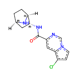 O=C(N[C@@H]1C[C@H]2CC[C@@H]1N2)c1cc2c(Cl)ccn2cn1